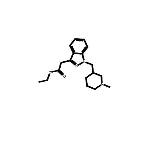 CCOC(=O)Cc1nn(CC2CCCN(C)C2)c2ccccc12